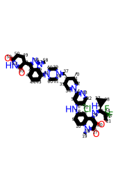 C[C@@H]1CN(c2cc(Nc3ccc4c(c3)c3c(c(=O)n4C)OCC(F)(F)[C@H](C4CC4)N3)c(Cl)cn2)CC[C@@H]1CN1CCN(c2cccc3c(C4CCC(=O)NC4=O)nn(C)c23)CC1